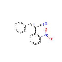 N#C/C(=C/c1ccccc1)c1ccccc1[N+](=O)[O-]